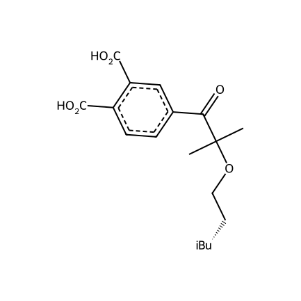 CC[C@@H](C)CCOC(C)(C)C(=O)c1ccc(C(=O)O)c(C(=O)O)c1